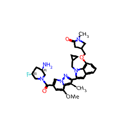 COc1cc(C(=O)N2C[C@H](N)C[C@@H](F)C2)cn2nc(-c3cc4cccc(OCC5CC(=O)N(C)C5)c4n3CC3CC3)c(C)c12